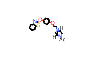 CC(=O)N1C[C@@H]2C[C@H]1CN2CCOc1ccc(Oc2nc3ccccc3s2)cc1